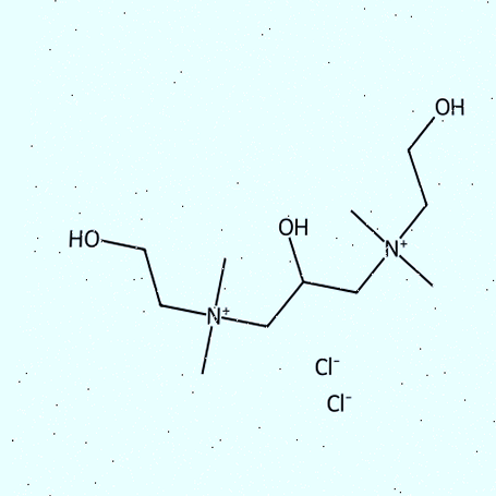 C[N+](C)(CCO)CC(O)C[N+](C)(C)CCO.[Cl-].[Cl-]